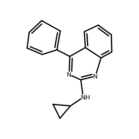 c1ccc(-c2nc(NC3CC3)nc3ccccc23)cc1